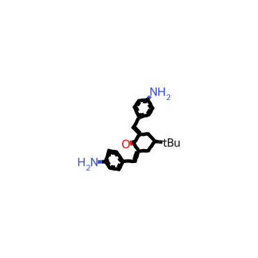 CC(C)(C)C1CC(=Cc2ccc(N)cc2)C(=O)C(=Cc2ccc(N)cc2)C1